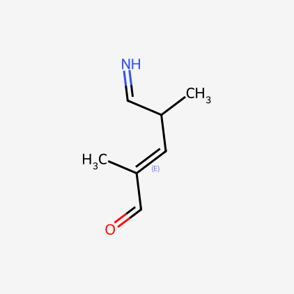 C/C(C=O)=C\C(C)C=N